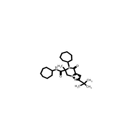 CC(C)(C)c1cc2n(n1)CC(C)(C(=O)NC1CCCCCC1)N(C1CCCCCC1)C2=O